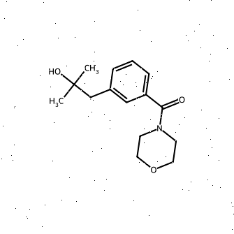 CC(C)(O)[CH]c1cccc(C(=O)N2CCOCC2)c1